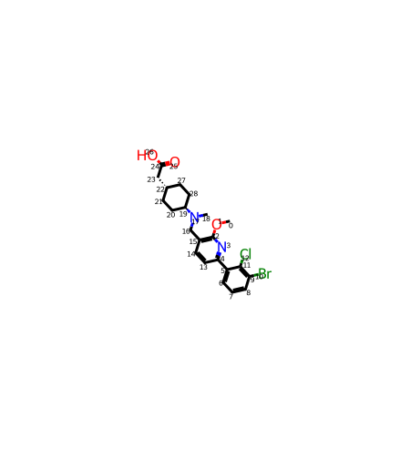 COc1nc(-c2cccc(Br)c2Cl)ccc1CN(C)[C@H]1CC[C@H](CC(=O)O)CC1